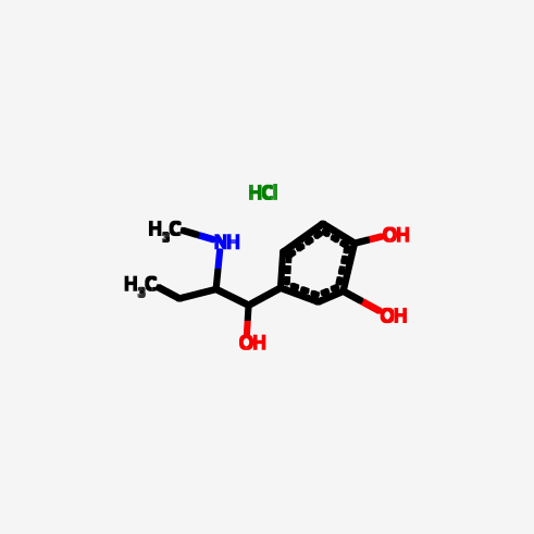 CCC(NC)C(O)c1ccc(O)c(O)c1.Cl